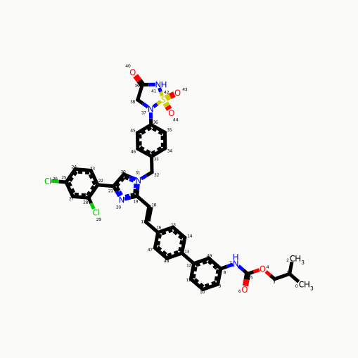 CC(C)COC(=O)Nc1cccc(-c2ccc(C=Cc3nc(-c4ccc(Cl)cc4Cl)cn3Cc3ccc(N4CC(=O)NS4(=O)=O)cc3)cc2)c1